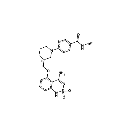 CCCNC(=O)c1ccc(N2CCC[C@H](COc3cccc4c3C(N)=NS(=O)(=O)N4)C2)nc1